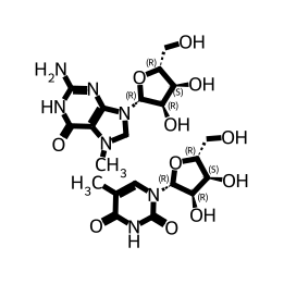 CN1CN([C@@H]2O[C@H](CO)[C@@H](O)[C@H]2O)c2nc(N)[nH]c(=O)c21.Cc1cn([C@@H]2O[C@H](CO)[C@@H](O)[C@H]2O)c(=O)[nH]c1=O